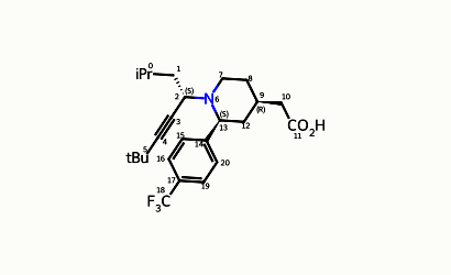 CC(C)C[C@@H](C#CC(C)(C)C)N1CC[C@@H](CC(=O)O)C[C@H]1c1ccc(C(F)(F)F)cc1